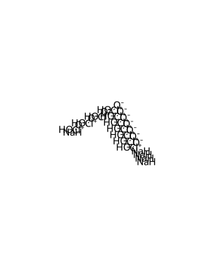 [NaH].[NaH].[NaH].[NaH].[NaH].[O-][Cl+]O.[O-][Cl+]O.[O-][Cl+]O.[O-][Cl+]O.[O-][Cl+]O.[O-][Cl+]O.[O-][Cl+]O.[O-][Cl+]O.[O-][Cl+]O.[O-][Cl+]O